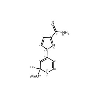 COC1(F)C=C(n2ccc(C(N)=O)n2)C=CN1